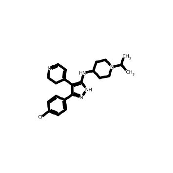 CC(C)N1CCC(Nc2[nH]nc(-c3ccc(Cl)cc3)c2C2=CC=NCC2)CC1